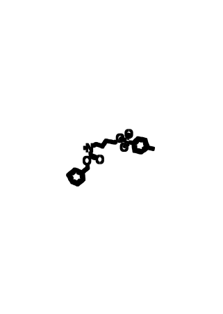 Cc1ccc(S(=O)(=O)OCCCCN(C)C(=O)OCc2ccccc2)cc1